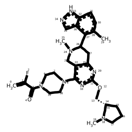 C=C(F)C(=O)N1CCN(c2nc(OC[C@@H]3CCCN3C)nc3c2CN(C)C(c2c(C)ccc4[nH]ncc24)C3)CC1